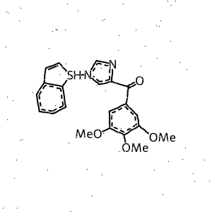 COc1cc(C(=O)c2cn([SH]3C=Cc4ccccc43)cn2)cc(OC)c1OC